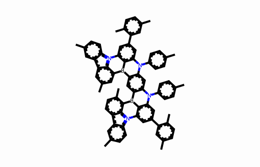 Cc1ccc(N2c3cc4c(cc3B3c5c2cc(-c2cc(C)ccc2C)cc5-n2c5ccc(C)cc5c5cc(C)cc3c52)B2c3c(cc(-c5cc(C)ccc5C)cc3-n3c5ccc(C)cc5c5ccc(C)c2c53)N4c2ccc(C)cc2)cc1